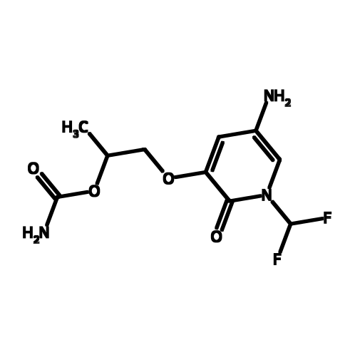 CC(COc1cc(N)cn(C(F)F)c1=O)OC(N)=O